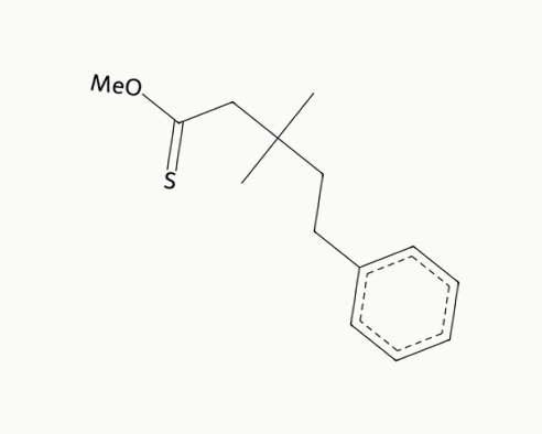 COC(=S)CC(C)(C)CCc1ccccc1